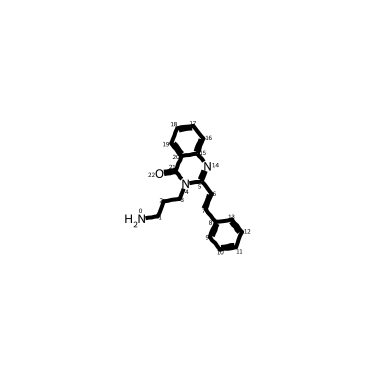 NCCCn1c(C=Cc2ccccc2)nc2ccccc2c1=O